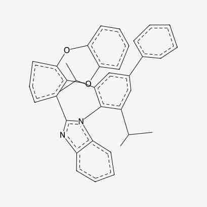 CC(C)c1cc(-c2ccccc2)cc(C(C)C)c1-n1c(-c2cccc3c2Oc2ccccc2O3)nc2ccccc21